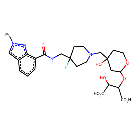 CC(C)n1cc2cccc(C(=O)NCC3(F)CCN(CC4(O)CCOC(OC(C(=O)O)C(O)C(=O)O)C4)CC3)c2n1